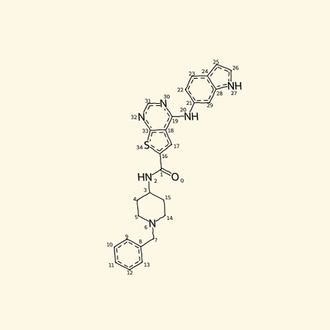 O=C(NC1CCN(Cc2ccccc2)CC1)c1cc2c(Nc3ccc4cc[nH]c4c3)ncnc2s1